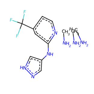 CN.CN.CN.FC(F)(F)c1ccnc(Nc2cn[nH]c2)c1